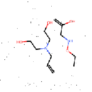 C=C(O)CNOCC.C=CCN(CCO)CCO